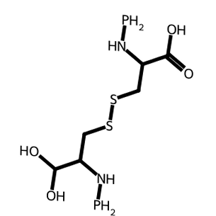 O=C(O)C(CSSCC(NP)C(O)O)NP